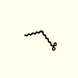 CCCCCCCC/C=C\CCCCCCCC([O])=O